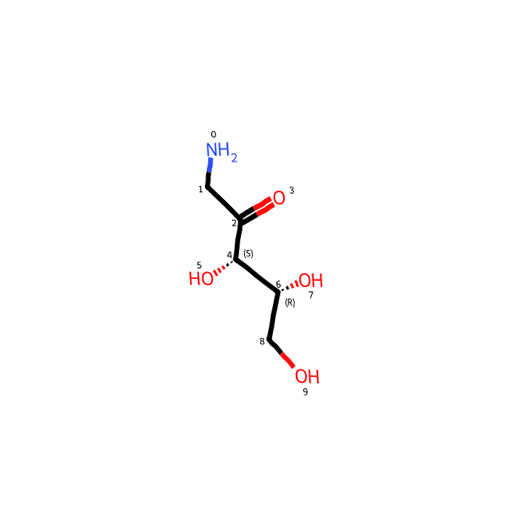 NCC(=O)[C@@H](O)[C@H](O)CO